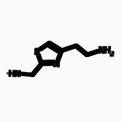 [NH]Cc1nc(CCN)cs1